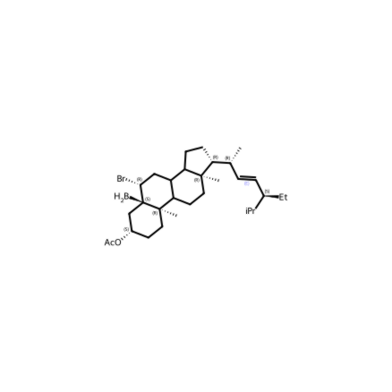 B[C@]12C[C@@H](OC(C)=O)CC[C@]1(C)C1CC[C@@]3(C)C(CC[C@@H]3[C@H](C)/C=C/[C@@H](CC)C(C)C)C1C[C@H]2Br